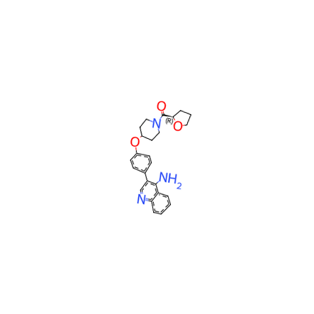 Nc1c(-c2ccc(OC3CCN(C(=O)[C@H]4CCCO4)CC3)cc2)cnc2ccccc12